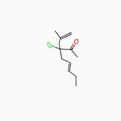 C=C(C)C(Cl)(CC=CCC)C(C)=O